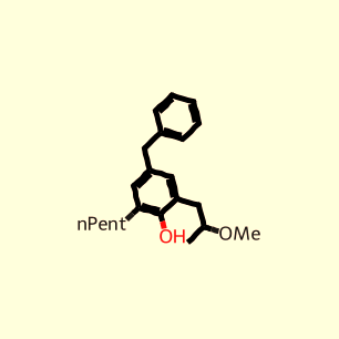 CCCCCc1cc(Cc2ccccc2)cc(CC(C)OC)c1O